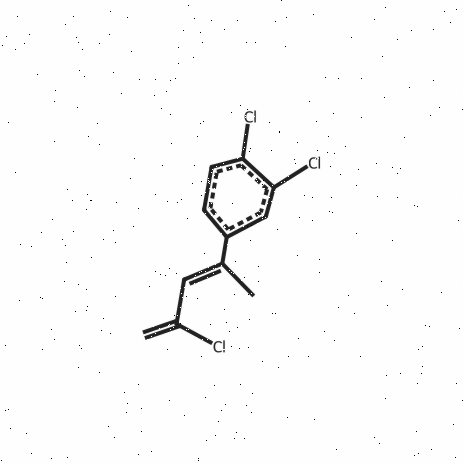 C=C(Cl)/C=C(\C)c1ccc(Cl)c(Cl)c1